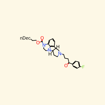 CCCCCCCCCCCCOC(=O)N1CCN2c3c(cccc31)[C@@H]1CN(CCCC(=O)c3ccc(F)cc3)CC[C@@H]12